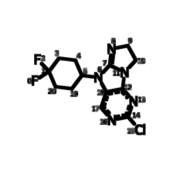 FC1(F)CCC(N2C3=NCCN3c3nc(Cl)ncc32)CC1